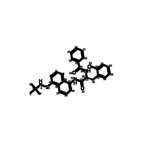 CC(C)(C)NSc1cccc2c(NC(=O)[C@H](Cc3ccccc3Cl)NC(=O)c3ccccc3)cccc12